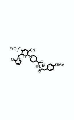 CCOC(=O)c1cc(C#N)c(N2CCC(C(=O)NS(=O)(=O)Cc3ccc(OC)cc3)CC2)nc1C[N+]1=CC=CC1=O